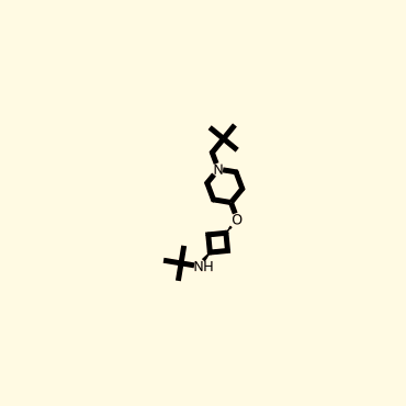 CC(C)(C)CN1CCC(O[C@H]2C[C@H](NC(C)(C)C)C2)CC1